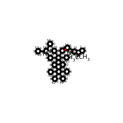 CC1(C)c2ccccc2-c2cc3c4ccccc4n(-c4cccc(-c5c(-c6ccccc6)c(-c6ccccc6)c(-c6cccc(-c7nc(-c8ccccc8)cc(-c8ccccc8)n7)c6)c6c7cccc8c9c(-c%10ccccc%10)c(-c%10ccccc%10)c(-c%10ccccc%10)c(-c%10ccccc%10)c9c9cccc(c56)c9c87)c4)c3cc21